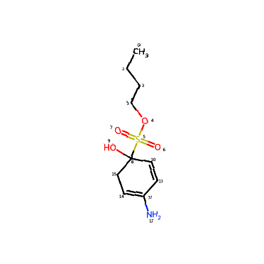 CCCCOS(=O)(=O)C1(O)C=CC(N)=CC1